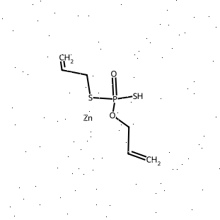 C=CCOP(=O)(S)SCC=C.[Zn]